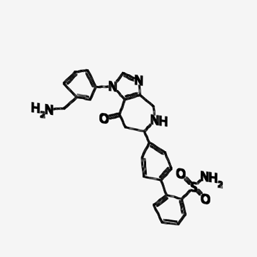 NCc1cccc(-n2cnc3c2C(=O)CC(c2ccc(-c4ccccc4S(N)(=O)=O)cc2)NC3)c1